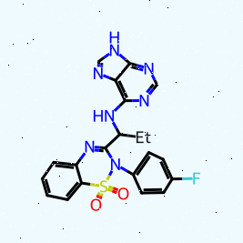 CCC(Nc1ncnc2[nH]cnc12)C1=Nc2ccccc2S(=O)(=O)N1c1ccc(F)cc1